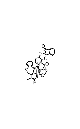 O=C1OC(Oc2c3n(ccc2=O)N([C@@H]2c4ccccc4SCc4c2ccc(F)c4F)[C@@H]2COCCN2C3=O)c2ccccc21